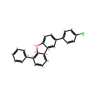 Brc1ccc(-c2ccc3oc4c(-c5ccccc5)cccc4c3c2)cc1